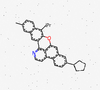 Cc1ccc2c(C(C)C)c3c(cc2c1)-c1nccc2c1c(cc1cc(C4CCCC4)ccc12)O3